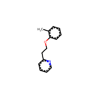 Cc1ccccc1OCCc1ccccn1